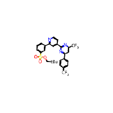 CC(C)(C)COS(=O)(=O)c1cccc(-c2cc(-c3nc(-c4ccc(C(F)(F)F)cc4)cc(C(F)(F)F)n3)ccn2)c1